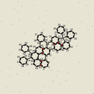 c1ccc(-c2ccc(N(c3ccc4c(c3)-c3ccccc3C4(c3ccccc3)c3ccccc3)c3ccccc3-c3ccc4c(c3)c(-c3ccccc3)c(-c3ccccc3)c3ccccc34)c(-c3ccccc3)c2)cc1